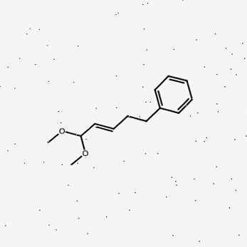 COC(C=CCCc1ccccc1)OC